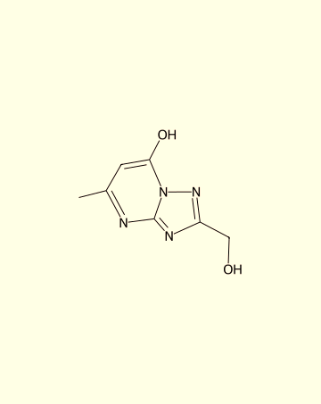 Cc1cc(O)n2nc(CO)nc2n1